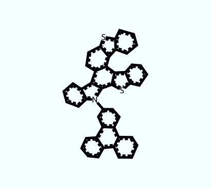 c1ccc2c(c1)sc1ccc3c(c12)c1c2ccccc2sc1c1c3c2ccccc2n1-c1ccc2c3ccccc3c3ccccc3c2c1